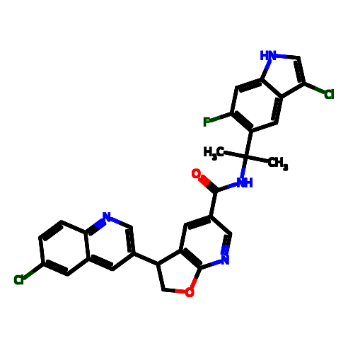 CC(C)(NC(=O)c1cnc2c(c1)C(c1cnc3ccc(Cl)cc3c1)CO2)c1cc2c(Cl)c[nH]c2cc1F